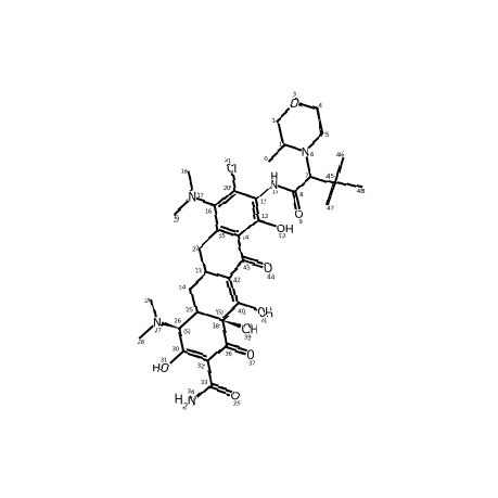 CC1COCCN1C(C(=O)Nc1c(O)c2c(c(N(C)C)c1Cl)CC1CC3[C@H](N(C)C)C(O)=C(C(N)=O)C(=O)[C@@]3(O)C(O)=C1C2=O)C(C)(C)C